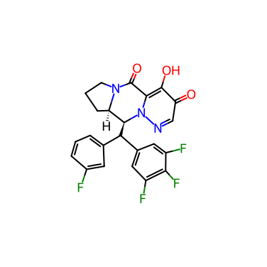 O=C1c2c(O)c(=O)cnn2[C@@H](C(c2cccc(F)c2)c2cc(F)c(F)c(F)c2)[C@H]2CCCN12